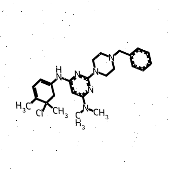 CC1=CC=C(Nc2cc(N(C)C)nc(N3CCN(Cc4ccccc4)CC3)n2)CC1(C)Cl